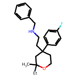 CCC1(C)CC(CCNCc2ccccc2)(c2ccc(F)cc2)CCO1